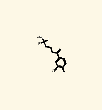 C=C(CCCC(F)(F)CCC)c1ccc(C)c(Cl)c1